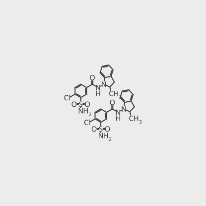 CC1Cc2ccccc2N1NC(=O)c1ccc(Cl)c(S(N)(=O)=O)c1.CC1Cc2ccccc2N1NC(=O)c1ccc(Cl)c(S(N)(=O)=O)c1